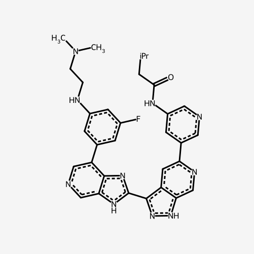 CC(C)CC(=O)Nc1cncc(-c2cc3c(-c4nc5c(-c6cc(F)cc(NCCN(C)C)c6)cncc5[nH]4)n[nH]c3cn2)c1